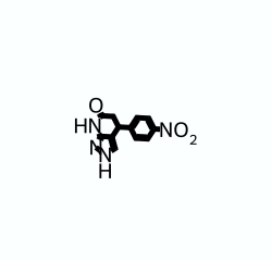 O=C1CC(c2ccc([N+](=O)[O-])cc2)c2c[nH]nc2N1